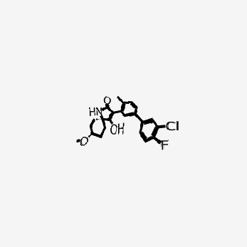 CO[C@H]1CC[C@]2(CC1)NC(=O)C(c1cc(-c3ccc(F)c(Cl)c3)ccc1C)=C2O